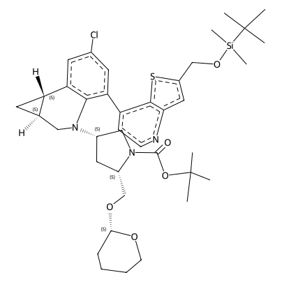 CC(C)(C)OC(=O)N1C[C@@H](N2C[C@H]3C[C@@H]3c3cc(Cl)cc(-c4ccnc5cc(CO[Si](C)(C)C(C)(C)C)sc45)c32)C[C@H]1CO[C@H]1CCCCO1